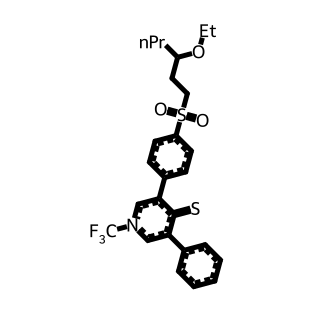 CCCC(CCS(=O)(=O)c1ccc(-c2cn(C(F)(F)F)cc(-c3ccccc3)c2=S)cc1)OCC